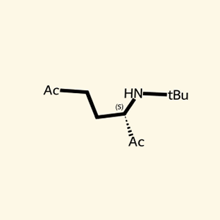 CC(=O)CC[C@H](NC(C)(C)C)C(C)=O